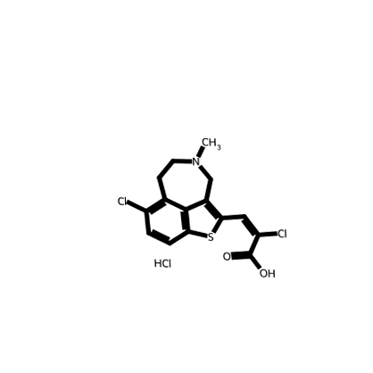 CN1CCc2c(Cl)ccc3sc(/C=C(/Cl)C(=O)O)c(c23)C1.Cl